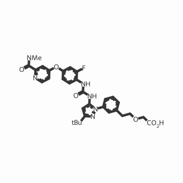 CNC(=O)c1cc(Oc2ccc(NC(=O)Nc3cc(C(C)(C)C)nn3-c3cccc(CCOCC(=O)O)c3)c(F)c2)ccn1